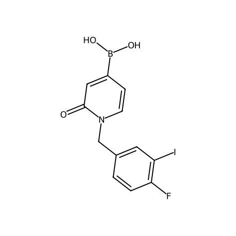 O=c1cc(B(O)O)ccn1Cc1ccc(F)c(I)c1